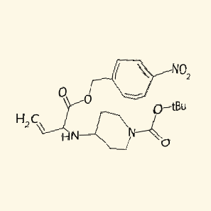 C=CC(NC1CCN(C(=O)OC(C)(C)C)CC1)C(=O)OCc1ccc([N+](=O)[O-])cc1